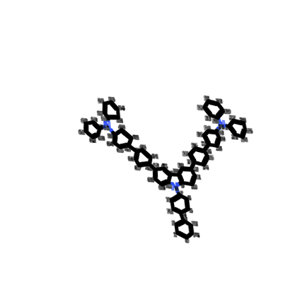 c1ccc(-c2ccc(-n3c4ccc(-c5ccc(-c6ccc(N(c7ccccc7)c7ccccc7)cc6)cc5)cc4c4cc(-c5ccc(-c6ccc(N(c7ccccc7)c7ccccc7)cc6)cc5)ccc43)cc2)cc1